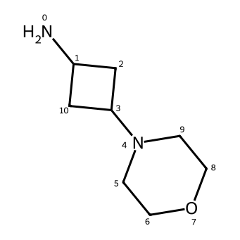 NC1CC(N2CCOCC2)C1